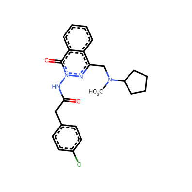 O=C(Cc1ccc(Cl)cc1)Nn1nc(CN(C(=O)O)C2CCCC2)c2ccccc2c1=O